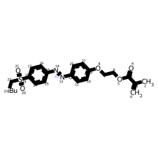 C=C(C)C(=O)OCCOc1ccc(/N=N/c2ccc(S(=O)(=O)CC(C)CC)cc2)cc1